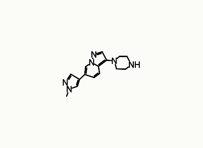 Cn1cc(-c2ccc3c(N4CCNCC4)cnn3c2)cn1